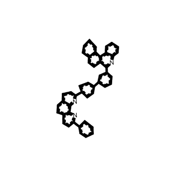 c1ccc(-c2ccc3ccc4ccc(-c5ccc(-c6cccc(-c7nc8ccccc8c8c7ccc7ccccc78)c6)cc5)nc4c3n2)cc1